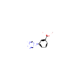 COC(=O)c1cccc(-n2cnnc2)c1